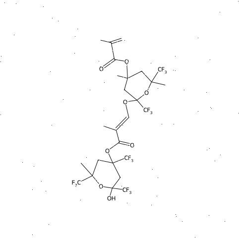 C=C(C)C(=O)OC1(C)CC(C)(C(F)(F)F)OC(O/C=C(\C)C(=O)OC2(C(F)(F)F)CC(C)(C(F)(F)F)OC(O)(C(F)(F)F)C2)(C(F)(F)F)C1